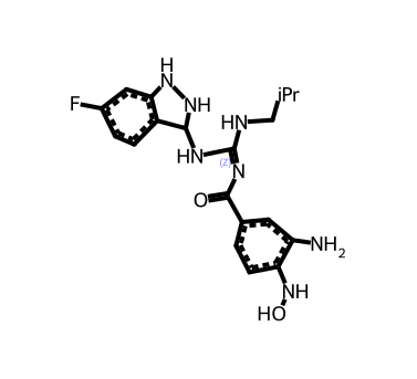 CC(C)CN/C(=N/C(=O)c1ccc(NO)c(N)c1)NC1NNc2cc(F)ccc21